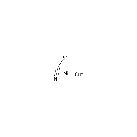 N#C[S-].[Cu+].[Ni]